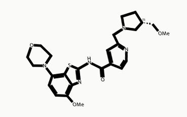 COC[C@H]1CCN(Cc2cc(C(=O)Nc3nc4c(OC)ccc(N5CCOCC5)c4s3)ccn2)C1